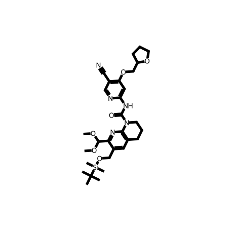 COC(OC)c1nc2c(cc1CO[Si](C)(C)C(C)(C)C)CCCN2C(=O)Nc1cc(OCC2CCCO2)c(C#N)cn1